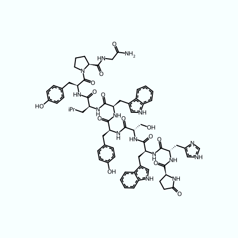 CC(C)C[C@H](NC(=O)[C@@H](Cc1c[nH]c2ccccc12)NC(=O)[C@H](Cc1ccc(O)cc1)NC(=O)[C@H](CO)NC(=O)[C@H](Cc1c[nH]c2ccccc12)NC(=O)[C@H](Cc1c[nH]cn1)NC(=O)[C@@H]1CCC(=O)N1)C(=O)N[C@@H](Cc1ccc(O)cc1)C(=O)N1CCC[C@H]1C(=O)NCC(N)=O